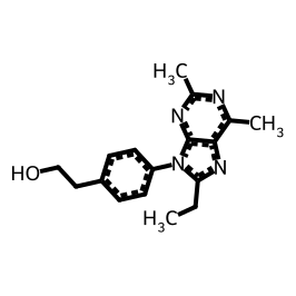 CCc1nc2c(C)nc(C)nc2n1-c1ccc(CCO)cc1